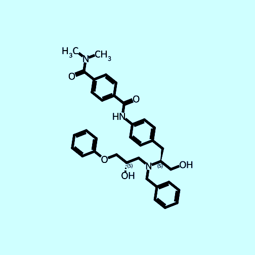 CN(C)C(=O)c1ccc(C(=O)Nc2ccc(C[C@@H](CO)N(Cc3ccccc3)C[C@H](O)COc3ccccc3)cc2)cc1